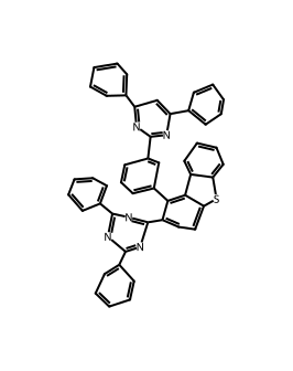 c1ccc(-c2cc(-c3ccccc3)nc(-c3cccc(-c4c(-c5nc(-c6ccccc6)nc(-c6ccccc6)n5)ccc5sc6ccccc6c45)c3)n2)cc1